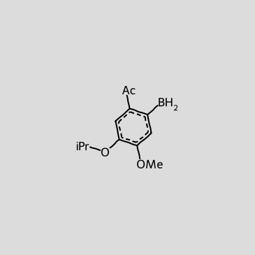 Bc1cc(OC)c(OC(C)C)cc1C(C)=O